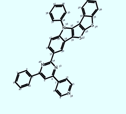 c1ccc(-c2cc(-c3ccncc3)nc(-c3ccc4c(c3)c3sc5sc6ccccc6c5c3n4-c3ccccc3)n2)cc1